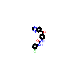 O=C(Nc1ccc(C(=O)c2ccc3nccnc3c2)cc1)Nc1cccc(Cl)c1